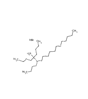 Br.CCCCCCCCCCCCC(CCCC)C(P)(CCCC)CCCC